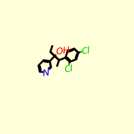 CCC(O)(c1cccnc1)C(C)c1ccc(Cl)cc1Cl